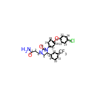 NC(=O)CCN1CC(c2cccc(C(F)(F)F)c2)N(c2ccc(Oc3ccc(Cl)cc3)cc2)C1=O